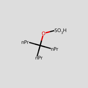 CCCC(CCC)(CCC)OS(=O)(=O)O